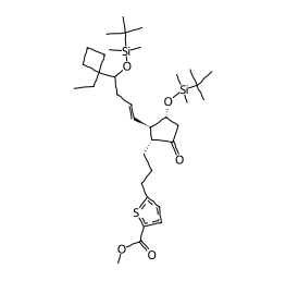 CCC1(C(CC=C[C@H]2[C@H](O[Si](C)(C)C(C)(C)C)CC(=O)[C@@H]2CCCc2ccc(C(=O)OC)s2)O[Si](C)(C)C(C)(C)C)CCC1